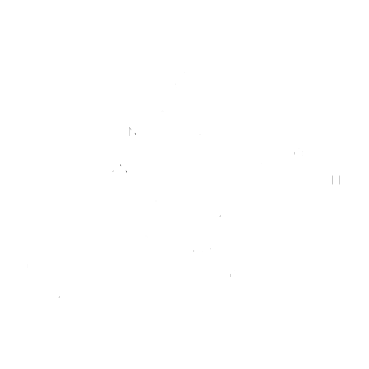 COc1cc(OC)c2c(Cc3ccccc3)nnc(Cl)c2c1